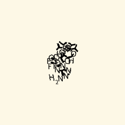 CC(C)[Si]1(C(C)C)OC[C@H]2O[C@@H](n3cnc4c(N)ncnc43)[C@@H](OS(=O)(=O)C(F)(F)F)[C@H]2O[Si](C(C)C)(C(C)C)O1